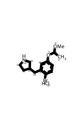 COC(C)Oc1ccc(Br)c(CC2CCNC2)c1.Cl